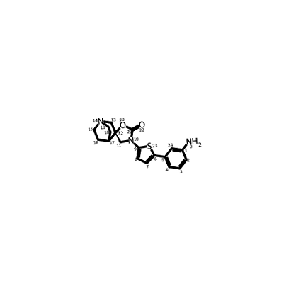 Nc1cccc(-c2ccc(N3C[C@@]4(CN5CCC4CC5)OC3=O)s2)c1